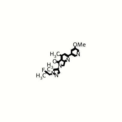 COc1cncc(-c2cc(C)c3c(n2)CN(c2cnn(CC(C)(C)F)c2)C3=O)c1